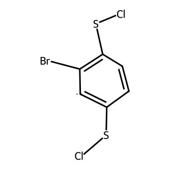 ClSc1[c]c(Br)c(SCl)cc1